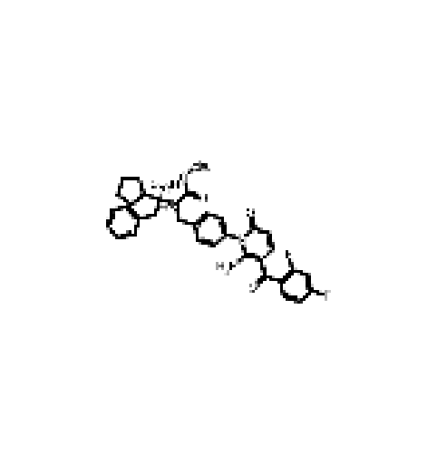 CC(C)(C)OC(=O)N(Cc1ccc(-n2c(N)c(C(=O)c3ccc(F)cc3F)ccc2=O)cc1)[C@](Cc1ccccc1)(C(=O)O)C1CCCC1